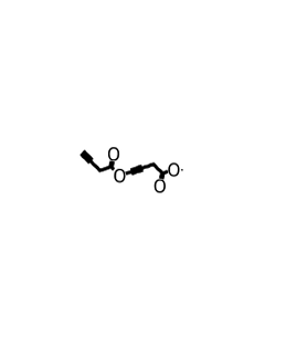 C#CCC(=O)OC#CCC([O])=O